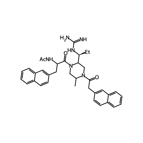 CC[C@H](NC(=N)N)C1CN(C(=O)Cc2ccc3ccccc3c2)C(C)CN1C(=O)C(Cc1ccc2ccccc2c1)NC(C)=O